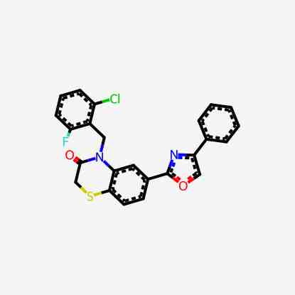 O=C1CSc2ccc(-c3nc(-c4ccccc4)co3)cc2N1Cc1c(F)cccc1Cl